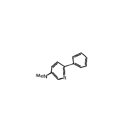 CNc1ccc(-c2ccccc2)nc1